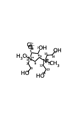 C[N+](CCO)(CCO)CC[N+](C)(CCO)CCO.[Cl-].[Cl-]